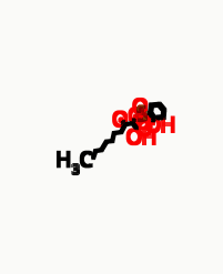 CCCCCCCCC(=O)C(OS(=O)(=O)c1ccccc1O)C(=O)O